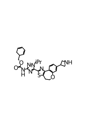 CC(C)n1nc(NC(=O)OCC2C=CC=CC2)nc1-c1nc2c(s1)CCOc1cc(C3CNC3)ccc1-2